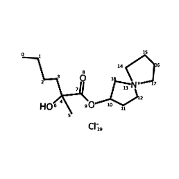 CCCCC(C)(O)C(=O)OC1CC[N+]2(CCCC2)C1.[Cl-]